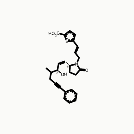 CC(CC#Cc1ccccc1)[C@H](O)/C=C\[C@H]1CCC(=O)N1CC=Cc1ccc(C(=O)O)s1